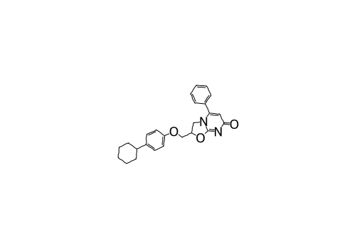 O=c1cc(-c2ccccc2)n2c(n1)OC(COc1ccc(C3CCCCC3)cc1)C2